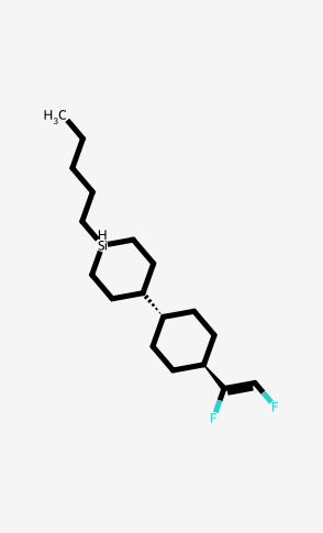 CCCCC[SiH]1CCC([C@H]2CC[C@H](/C(F)=C/F)CC2)CC1